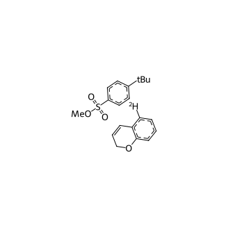 COS(=O)(=O)c1ccc(C(C)(C)C)cc1.[2H]c1cccc2c1C=CCO2